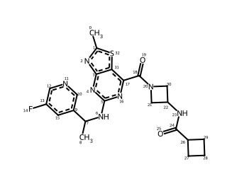 Cc1nc2nc(NC(C)c3cncc(F)c3)nc(C(=O)N3CC(NC(=O)C4CCC4)C3)c2s1